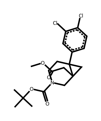 COC(=O)CC12CN(C(=O)OC(C)(C)C)CCC1(c1ccc(Cl)c(Cl)c1)C2